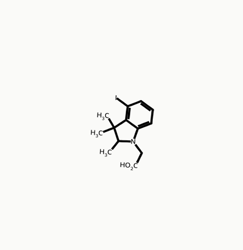 CC1N(CC(=O)O)c2cccc(I)c2C1(C)C